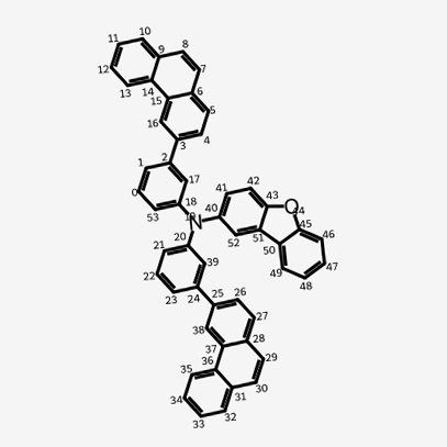 c1cc(-c2ccc3ccc4ccccc4c3c2)cc(N(c2cccc(-c3ccc4ccc5ccccc5c4c3)c2)c2ccc3oc4ccccc4c3c2)c1